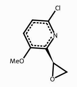 COc1ccc(Cl)nc1[C@H]1CO1